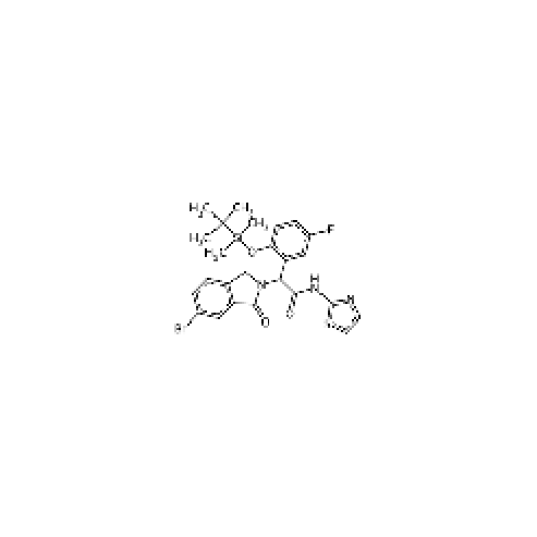 CC(C)(C)[Si](C)(C)Oc1ccc(F)cc1C(C(=O)Nc1nccs1)N1Cc2ccc(Br)cc2C1=O